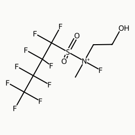 C[N+](F)(CCO)S(=O)(=O)C(F)(F)C(F)(F)C(F)(F)C(F)(F)F